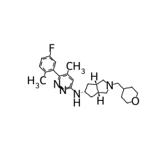 Cc1ccc(F)cc1-c1nnc(N[C@@H]2C[C@@H]3CN(CC4CCOCC4)C[C@@H]3C2)cc1C